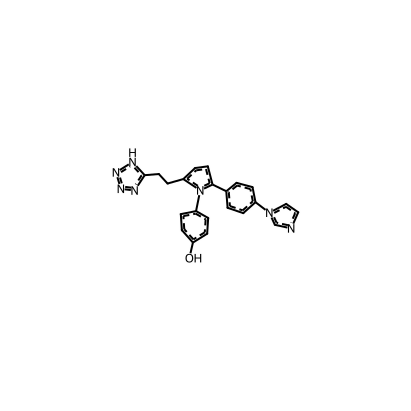 Oc1ccc(-n2c(CCc3nnn[nH]3)ccc2-c2ccc(-n3ccnc3)cc2)cc1